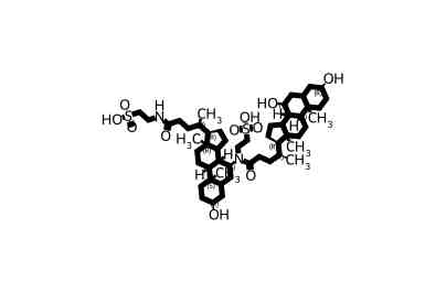 C[C@H](CCC(=O)N(CCS(=O)(=O)O)[C@H]1CC2C[C@H](O)CC[C@]2(C)[C@H]2CC[C@@]3(C)C(CC[C@@H]3[C@H](C)CCC(=O)NCCS(=O)(=O)O)[C@H]12)[C@H]1CCC2[C@@H]3[C@@H](O)CC4C[C@H](O)CC[C@]4(C)[C@H]3CC[C@@]21C